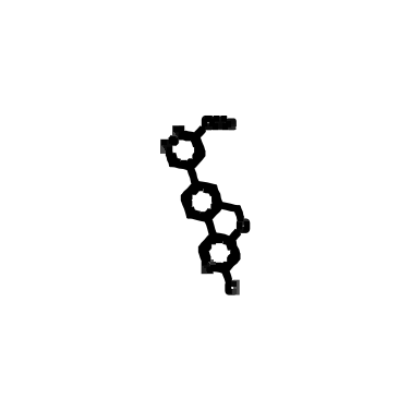 COc1cc(-c2ccc3c(c2)COc2cc(Cl)ncc2-3)cnn1